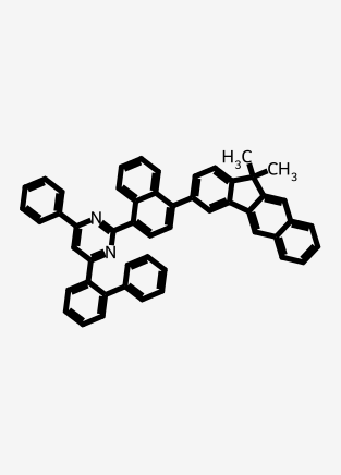 CC1(C)c2ccc(-c3ccc(-c4nc(-c5ccccc5)cc(-c5ccccc5-c5ccccc5)n4)c4ccccc34)cc2-c2cc3ccccc3cc21